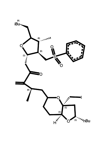 C=C(C(=O)C[C@@H]1OC(C[C@H](C)CC)[C@H](C)[C@H]1CS(=O)(=O)c1ccccc1)[C@H](C)CC1CC[C@@H]2O[C@@H](CCCC)C[C@]2(CI)O1